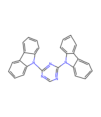 c1ccc2c(c1)c1ccccc1n2-c1ncnc(-n2c3ccccc3c3ccccc32)n1